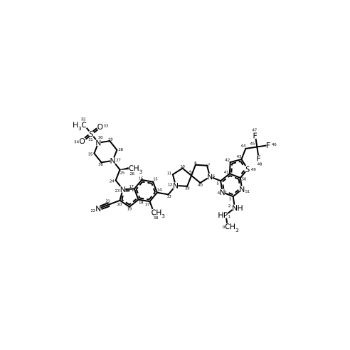 CPNc1nc(N2CCC3(CCN(Cc4ccc5c(cc(C#N)n5C[C@H](C)N5CCN(S(C)(=O)=O)CC5)c4C)C3)C2)c2cc(CC(F)(F)F)sc2n1